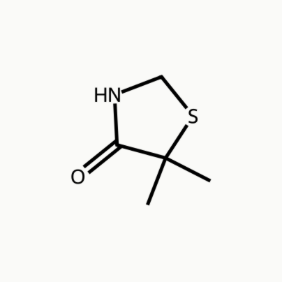 CC1(C)SCNC1=O